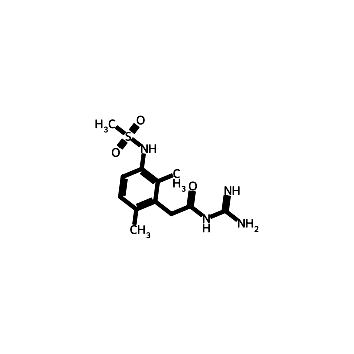 Cc1ccc(NS(C)(=O)=O)c(C)c1CC(=O)NC(=N)N